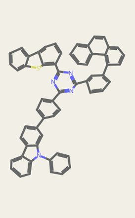 c1ccc(-n2c3ccccc3c3ccc(-c4ccc(-c5nc(-c6cccc(-c7cccc8ccc9ccccc9c78)c6)nc(-c6cccc7c6sc6ccccc67)n5)cc4)cc32)cc1